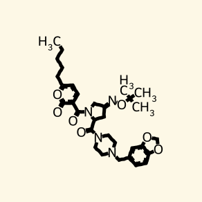 CCCCCc1ccc(C(=O)N2CC(=NOC(C)(C)C)CC2C(=O)N2CCN(Cc3ccc4c(c3)OCO4)CC2)c(=O)o1